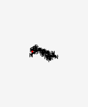 N#CC(C#N)=Cc1sc(-c2ccc(-c3ccc(-c4ccc(-c5sc(C=C(C#N)C#N)c(C(F)(F)F)c5C(F)(F)F)s4)c4nsnc34)s2)c(C(F)(F)F)c1C(F)(F)F